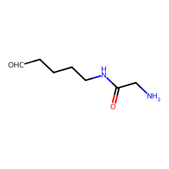 NCC(=O)NCCCCC=O